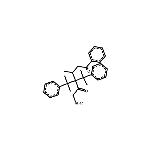 CCCCCCCCCCCC(=O)C([C](C)CC(=O)c1ccccc1)(C(C)(C)c1ccccc1)C(C)(C)c1ccccc1